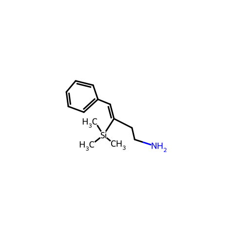 C[Si](C)(C)C(=Cc1ccccc1)CCN